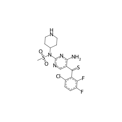 CS(=O)(=O)N(c1ncc(C(=S)c2c(Cl)ccc(F)c2F)c(N)n1)C1CCNCC1